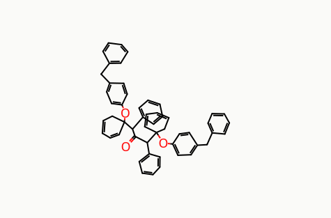 O=C(C(c1ccccc1)C1(Oc2ccc(Cc3ccccc3)cc2)C=CC=CC1)C(c1ccccc1)C1(Oc2ccc(Cc3ccccc3)cc2)C=CC=CC1